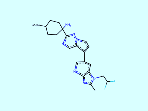 CNC1CCC(N)(c2ncc3c(-c4cnc5nc(C)n(CC(F)F)c5c4)ccn3n2)CC1